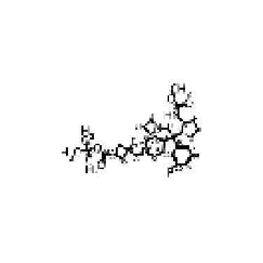 COC(=O)N[C@H]1CCC[C@@H]1[C@](CN1CCC1)(c1cccc(F)c1)C1CCN(CC2(F)CN(C(=O)OC(C)(C)C)C2)CC1